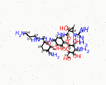 N=C(N)NC1CC1(O)C(=O)N[C@@H]1C[C@H](N)C(O[C@H]2O[C@H](CNCCCN)CC[C@H]2N)[C@H](O)[C@H]1O[C@H]1O[C@H](CO)[C@@H](O)[C@H](N)[C@H]1O